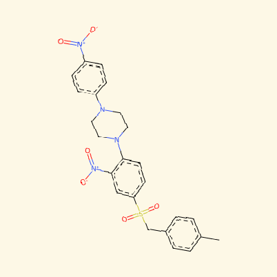 Cc1ccc(CS(=O)(=O)c2ccc(N3CCN(c4ccc([N+](=O)[O-])cc4)CC3)c([N+](=O)[O-])c2)cc1